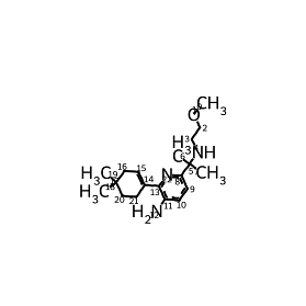 COCCNC(C)(C)c1ccc(N)c(C2=CCC(C)(C)CC2)n1